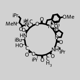 CC[C@H](C)[C@H]1NC(=O)[C@@H](NC(=O)[C@@H](CC(C)C)NC)[C@@H](C)OC(=O)C(Cc2ccc(OC)cc2)N(C)C(=O)[C@@H]2CCCN2C(=O)[C@H](CC(C)C)NC(=O)[C@@H](C)C(=O)[C@H](C(C)C)OC(=O)C[C@@H]1O